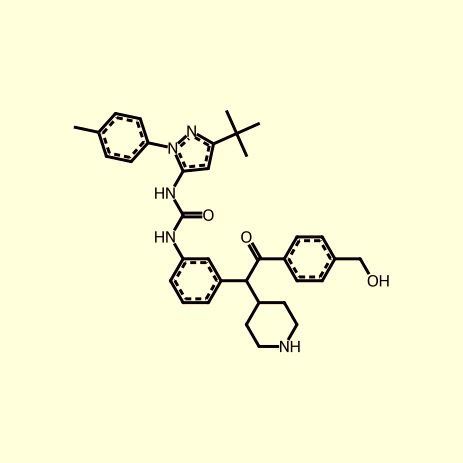 Cc1ccc(-n2nc(C(C)(C)C)cc2NC(=O)Nc2cccc(C(C(=O)c3ccc(CO)cc3)C3CCNCC3)c2)cc1